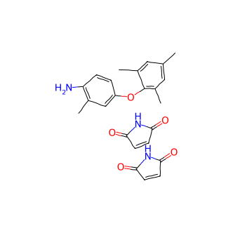 Cc1cc(C)c(Oc2ccc(N)c(C)c2)c(C)c1.O=C1C=CC(=O)N1.O=C1C=CC(=O)N1